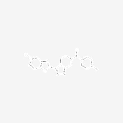 O=C(c1ccc(F)cc1)N1CCn2c(nnc2-c2nc3cc(Cl)ncc3s2)C1